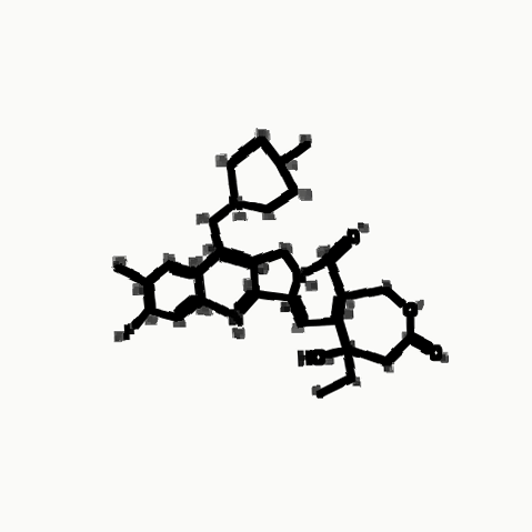 CCC1(O)CC(=O)OCc2c1cc1n(c2=O)Cc2c-1nc1cc(F)c(C)cc1c2CN1CCC(C)CC1